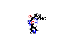 CCCCC(NC=O)C(=O)c1nnc(-c2ccncc2)o1